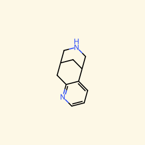 c1cnc2c(c1)C1CNCC(C2)C1